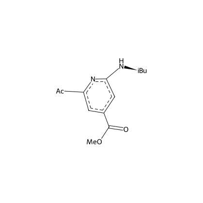 CC[C@H](C)Nc1cc(C(=O)OC)cc(C(C)=O)n1